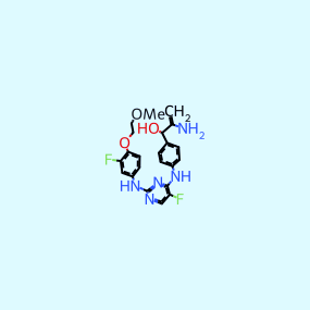 C=C(N)C(O)c1ccc(Nc2nc(Nc3ccc(OCCOC)c(F)c3)ncc2F)cc1